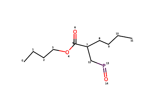 CCCCOC(=O)C(CCCC)CP=O